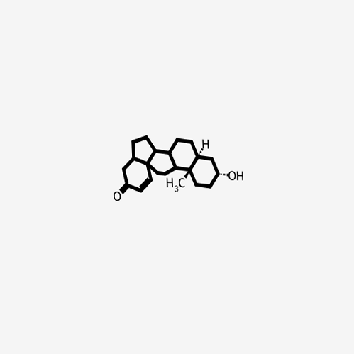 C[C@]12CC[C@@H](O)C[C@@H]1CCC1C3CCC4CC(=O)C=CC43CCC12